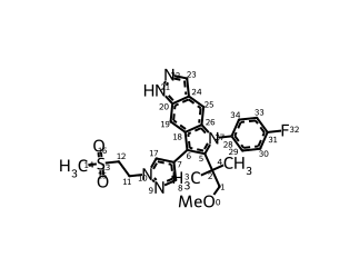 COCC(C)(C)c1c(-c2cnn(CCS(C)(=O)=O)c2)c2cc3[nH]ncc3cc2n1-c1ccc(F)cc1